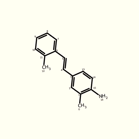 Cc1cc(C=Cc2ccccc2C)ccc1N